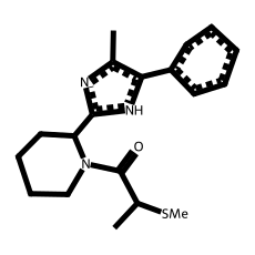 CSC(C)C(=O)N1CCCCC1c1nc(C)c(-c2ccccc2)[nH]1